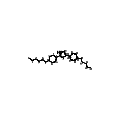 CCCCCCC1CCC(N2NC=C(c3ccc(CCCCC)cc3)S2)CC1